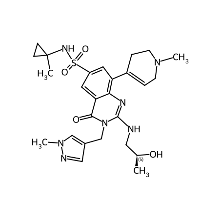 C[C@H](O)CNc1nc2c(C3=CCN(C)CC3)cc(S(=O)(=O)NC3(C)CC3)cc2c(=O)n1Cc1cnn(C)c1